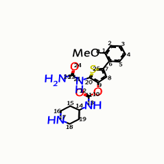 COc1ccccc1-c1cc(OC(=O)NC2CCNCC2)c(NC(N)=O)s1